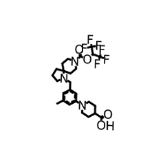 Cc1cc(CN2CCCC23CCN(C(=O)OC(C(F)(F)F)C(F)(F)F)CC3)cc(N2CCC(C(=O)O)CC2)c1